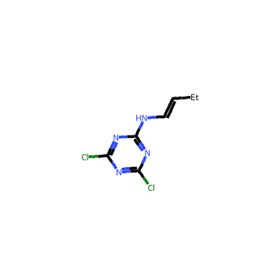 CCC=CNc1nc(Cl)nc(Cl)n1